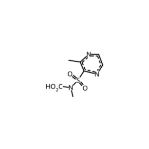 Cc1nccnc1S(=O)(=O)N(C)C(=O)O